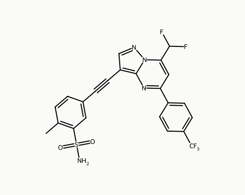 Cc1ccc(C#Cc2cnn3c(C(F)F)cc(-c4ccc(C(F)(F)F)cc4)nc23)cc1S(N)(=O)=O